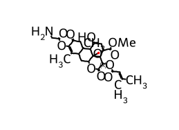 COC(=O)C12CC(O)C3C4(C)CC(=O)C(OC(=O)CN)=C(C)C4CC4OC(=O)[C@H](OC(=O)C=C(C)C)C1C43CO2